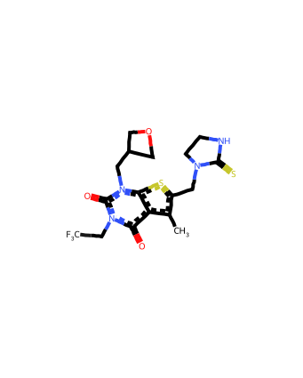 Cc1c(CN2CCNC2=S)sc2c1c(=O)n(CC(F)(F)F)c(=O)n2CC1COC1